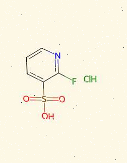 Cl.O=S(=O)(O)c1cccnc1F